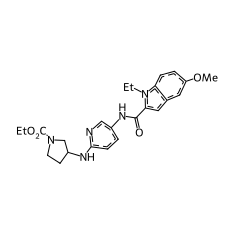 CCOC(=O)N1CCC(Nc2ccc(NC(=O)c3cc4cc(OC)ccc4n3CC)cn2)C1